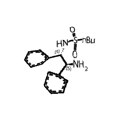 CCCCS(=O)(=O)N[C@@H](c1ccccc1)[C@@H](N)c1ccccc1